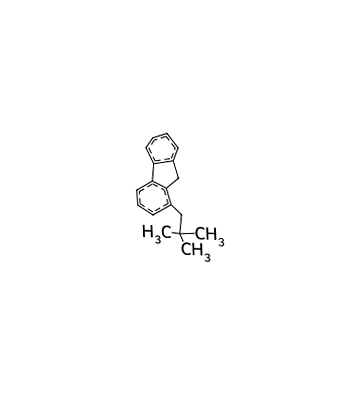 CC(C)(C)Cc1cccc2c1Cc1ccccc1-2